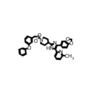 Cc1cccc(-c2[nH]c(C3CCN(S(=O)(=O)Cc4cccc(Oc5ccccc5)c4)CC3)nc2-c2ccc3c(c2)OCO3)n1